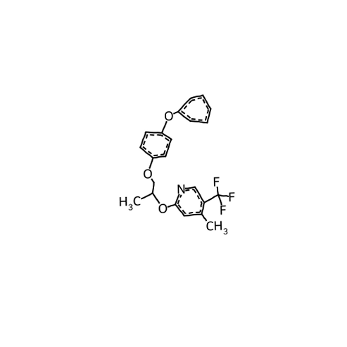 Cc1cc(OC(C)COc2ccc(Oc3ccccc3)cc2)ncc1C(F)(F)F